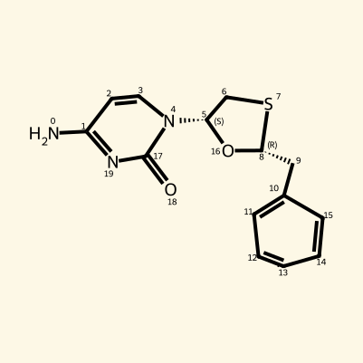 Nc1ccn([C@@H]2CS[C@H](Cc3cc[c]cc3)O2)c(=O)n1